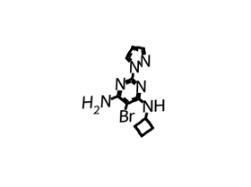 Nc1nc(-n2cccn2)nc(NC2CCC2)c1Br